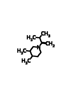 C=C(C(C)C)N1CCC(C)C(C)C1